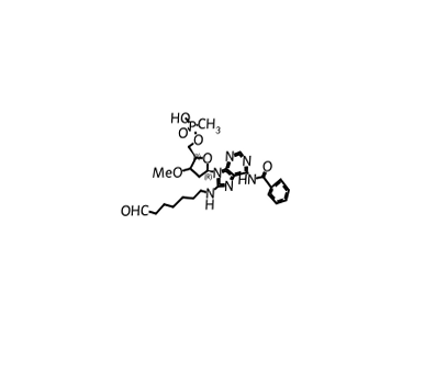 COC1C[C@H](n2c(NCCCCCCC=O)nc3c(NC(=O)c4ccccc4)ncnc32)O[C@@H]1COP(C)(=O)O